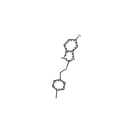 Cc1ccc(CSc2nc3cc(Cl)ccc3[nH]2)cc1